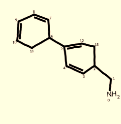 NCC1C=CC(C2C=CC=CC2)=CC1